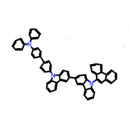 c1ccc(N(c2ccccc2)c2ccc(-c3ccc(-n4c5ccccc5c5cc(-c6ccc7c(c6)c6ccccc6n7-c6cc7ccccc7c7ccccc67)ccc54)cc3)cc2)cc1